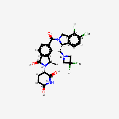 C[C@@H]1c2cc(C(=O)N3Cc4c(ccc(Cl)c4F)[C@@H]3CN3CC(F)(F)C3)ccc2C(=O)N1[C@H]1CCC(=O)NC1=O